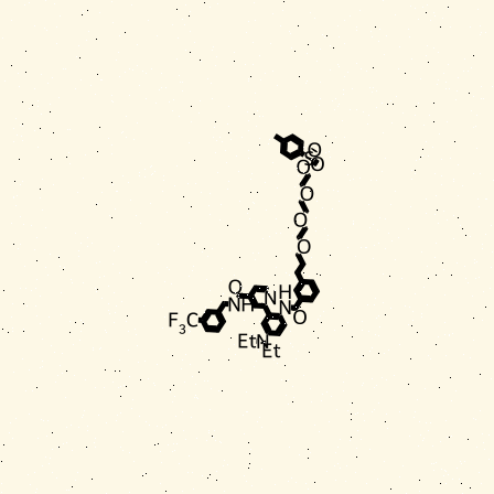 CCN(CC)c1ccc(NC(=O)c2cccc(CCCOCCOCCOCCOS(=O)(=O)c3ccc(C)cc3)c2)c(-c2cc(C(=O)NCc3cccc(C(F)(F)F)c3)ccn2)c1